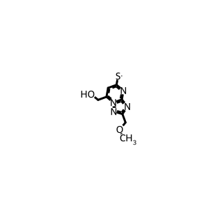 COCc1nc2nc([S])cc(CO)n2n1